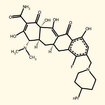 CCCC1CCN(Cc2cc(O)c3c(c2F)C[C@H]2C[C@H]4[C@H](N(C)C)C(O)=C(C(N)=O)C(=O)[C@@]4(O)C(O)=C2C3=O)CC1